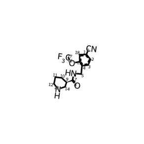 N#Cc1ccc(CNC(=O)[C@@H]2CCCNC2)c(OC(F)(F)F)c1